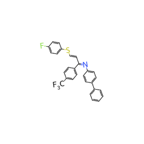 Fc1ccc(S/C=C/C(=N/c2ccc(-c3ccccc3)cc2)c2ccc(C(F)(F)F)cc2)cc1